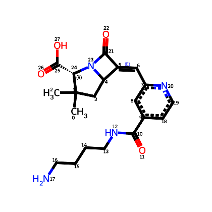 CC1(C)CC2/C(=C\c3cc(C(=O)NCCCCN)ccn3)C(=O)N2[C@H]1C(=O)O